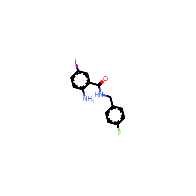 Nc1ccc(I)cc1C(=O)NCc1ccc(F)cc1